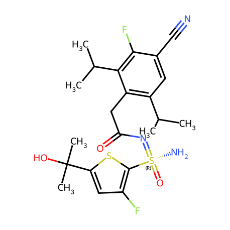 CC(C)c1cc(C#N)c(F)c(C(C)C)c1CC(=O)N=[S@@](N)(=O)c1sc(C(C)(C)O)cc1F